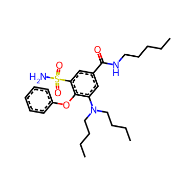 CCCCCNC(=O)c1cc(N(CCCC)CCCC)c(Oc2ccccc2)c(S(N)(=O)=O)c1